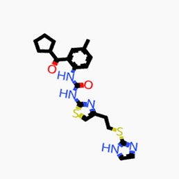 Cc1ccc(NC(=O)Nc2nc(CCSc3ncc[nH]3)cs2)c(C(=O)C2CCCC2)c1